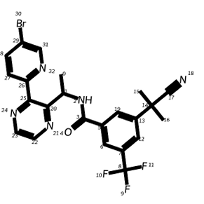 CC(NC(=O)c1cc(C(F)(F)F)cc(C(C)(C)C#N)c1)c1nccnc1-c1ccc(Br)cn1